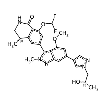 COc1cc(-c2cnn(C[C@H](C)O)c2)cc2nn(C)c(-c3cc(OC(F)F)c4c(c3)[C@@H](C)CNC4=O)c12